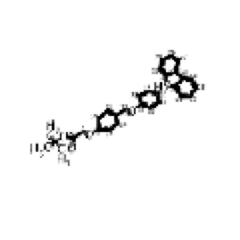 CC(C)(C)OC(=O)COc1ccc(COc2ccc([SH]3c4ccccc4-c4ccccc43)cc2)cc1